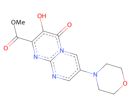 COC(=O)c1nc2ncc(N3CCOCC3)cn2c(=O)c1O